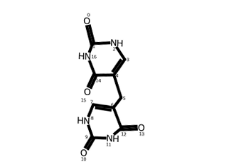 O=c1[nH]cc(Cc2c[nH]c(=O)[nH]c2=O)c(=O)[nH]1